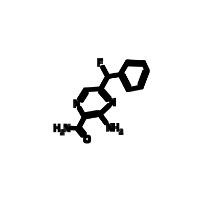 NC(=O)c1ncc(C(F)c2ccccc2)nc1N